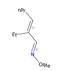 CCC/C=C(/C=N/OC)CC